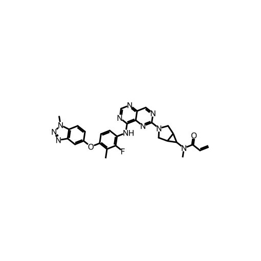 C=CC(=O)N(C)C1C2CN(c3ncc4ncnc(Nc5ccc(Oc6ccc7c(c6)nnn7C)c(C)c5F)c4n3)CC21